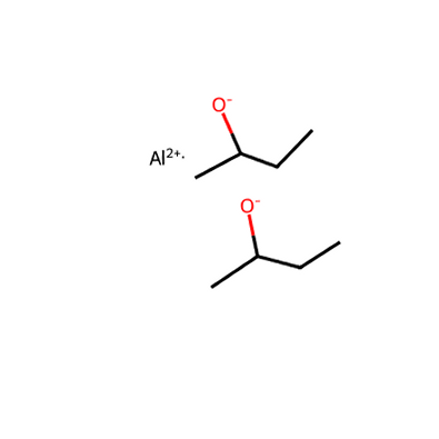 CCC(C)[O-].CCC(C)[O-].[Al+2]